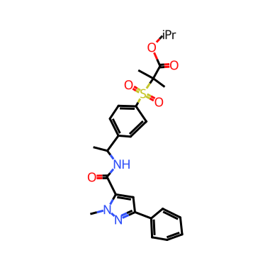 CC(C)OC(=O)C(C)(C)S(=O)(=O)c1ccc(C(C)NC(=O)c2cc(-c3ccccc3)nn2C)cc1